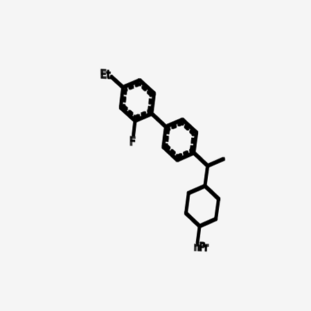 CCCC1CCC(C(C)c2ccc(-c3ccc(CC)cc3F)cc2)CC1